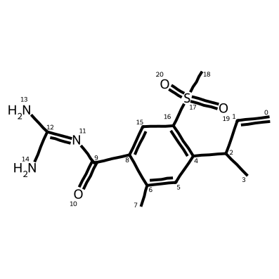 C=CC(C)c1cc(C)c(C(=O)N=C(N)N)cc1S(C)(=O)=O